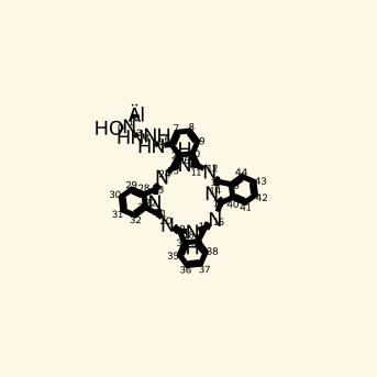 O[N]([Al])NNNc1cccc2c3nc4nc(nc5[nH]c(nc6nc(nc([nH]3)c12)-c1ccccc1-6)c1ccccc51)-c1ccccc1-4